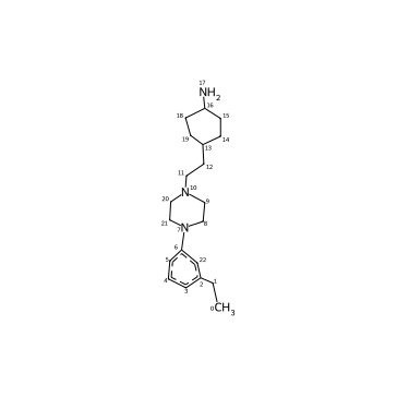 CCc1cccc(N2CCN(CCC3CCC(N)CC3)CC2)c1